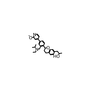 CCN(Cc1cc(-c2ccnc(OC)c2)ccc1C1CCc2ccc(CC(C)O)cc2O1)C(C)C